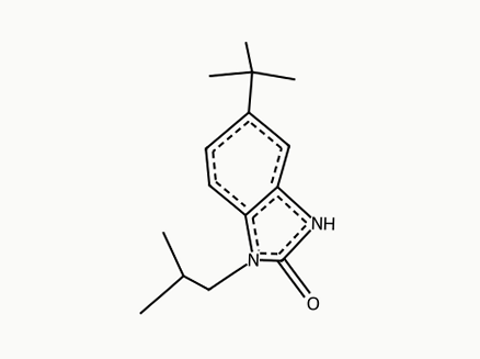 CC(C)Cn1c(=O)[nH]c2cc(C(C)(C)C)ccc21